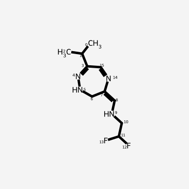 CC(C)C1=NNC/C(=C\NCC(F)F)N=C1